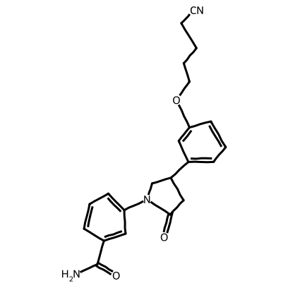 N#CCCCCOc1cccc(C2CC(=O)N(c3cccc(C(N)=O)c3)C2)c1